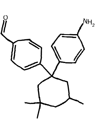 CC1CC(C)(C)CC(c2ccc(N)cc2)(c2ccc(C=O)cc2)C1